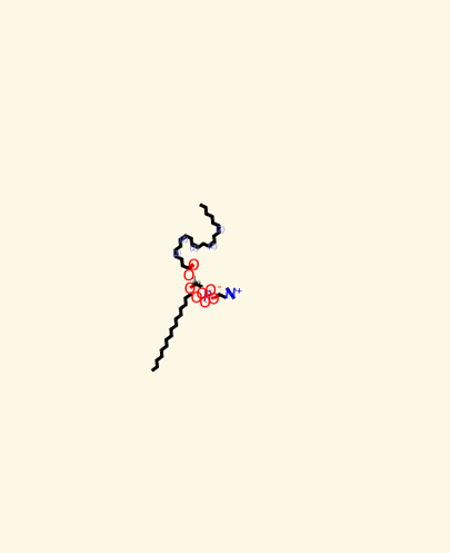 CCCCC/C=C\C/C=C\C/C=C\C/C=C\C/C=C\CCC(=O)OC[C@H](COP(=O)([O-])OCC[N+](C)(C)C)OC(=O)CCCCCCCCCCCCCCC